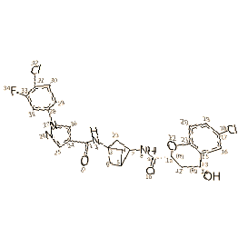 O=C(NC12CC(C1)C(NC(=O)[C@H]1C[C@@H](O)c3cc(Cl)ccc3O1)C2)c1cnn(-c2ccc(Cl)c(F)c2)c1